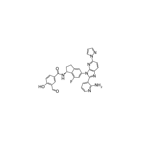 Nc1ncccc1-c1nc2ccc(-n3cccn3)nc2n1-c1cc(F)c2c(c1)CC[C@@H]2NC(=O)c1ccc(O)c(C=O)c1